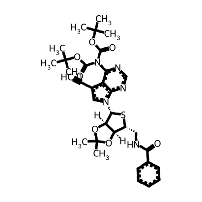 C#Cc1cn([C@@H]2S[C@H](CNC(=O)c3ccccc3)[C@H]3OC(C)(C)O[C@H]32)c2ncnc(N(C(=O)OC(C)(C)C)C(=O)OC(C)(C)C)c12